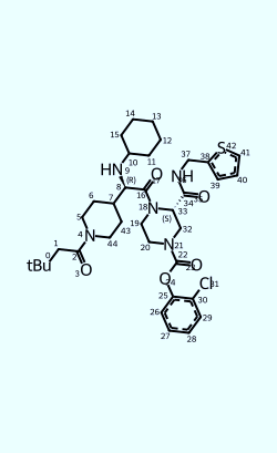 CC(C)(C)CC(=O)N1CCC([C@@H](NC2CCCCC2)C(=O)N2CCN(C(=O)Oc3ccccc3Cl)C[C@H]2C(=O)NCc2cccs2)CC1